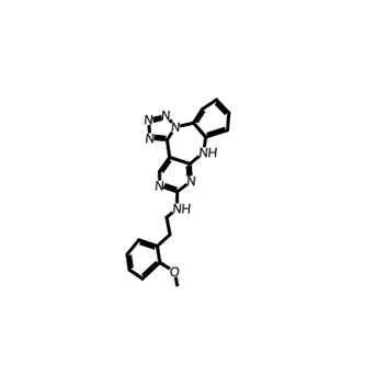 COc1ccccc1CCNc1ncc2c(n1)Nc1ccccc1-n1nnnc1-2